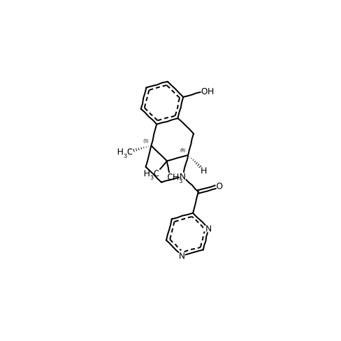 CC1(C)[C@H]2Cc3c(O)cccc3[C@]1(C)CCN2C(=O)c1ccncn1